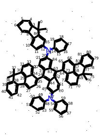 CC1(C)c2ccccc2-c2ccc(N(c3ccccc3)c3ccc4c(-c5ccc6c7c(cccc57)C(C)(C)c5ccccc5-6)c5cc(N(c6ccccc6)c6ccccc6)ccc5c(-c5ccc6c7c(cccc57)C(C)(C)c5ccccc5-6)c4c3)cc21